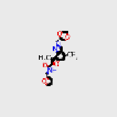 Cc1c(C(=O)NC[C@@H]2CCCO2)oc2c1-c1nn(C[C@H]3COCCO3)cc1[C@@H](C(F)(F)F)C2